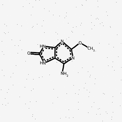 COc1nc(N)c2[nH]c(=O)[nH]c2n1